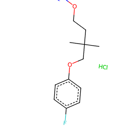 CC(C)(CCON)COc1ccc(F)cc1.Cl